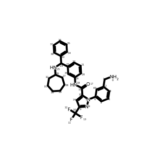 NCc1cccc(-n2nc(C(F)(F)F)cc2C(=O)Nc2cccc(C(NC3CCCCCC3)c3ccccc3)c2)c1